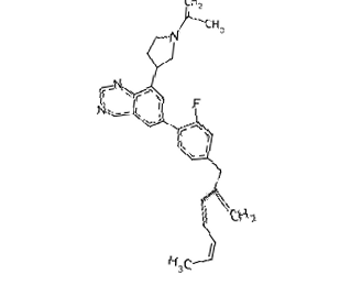 C=C(/C=C\C=C/C)Cc1ccc(-c2cc(C3CCN(C(=C)C)C3)c3ncncc3c2)c(F)c1